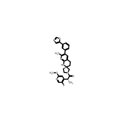 COc1cc([C@@H](C)C(=O)N2CC[C@@]3(CCc4cc(-c5cccc(-c6cnco6)c5)c(C)nc4N3)C2)c(F)cn1